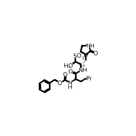 CC(C)CC(NC(=O)OCc1ccccc1)C(=O)N[C@@H](CC1CCNC1=O)C(O)S(=O)(=O)O